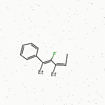 C/C=C(CC)\C(F)=C(/CC)c1ccccc1